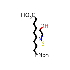 CCCCCCCCCCCCCCCCCC(=O)O.OCCN=S